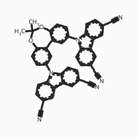 CC1(C)Oc2ccc(-n3c4ccc(C#N)cc4c4cc(C#N)ccc43)cc2-c2cc(-n3c4ccc(C#N)cc4c4cc(C#N)ccc43)ccc2O1